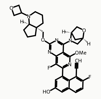 C#Cc1c(F)ccc2cc(O)cc(-c3nc(OC)c4c(N5C[C@H]6C[C@@H]5CO6)nc(OC[C@]56CCC[C@H]5N(C5COC5)CCC6)nc4c3F)c12